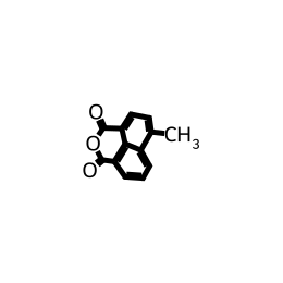 Cc1ccc2c3c(cccc13)C(=O)OC2=O